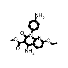 CCOc1ccc2c(N)c(C(=O)OC)c(=O)n(-c3ccc(N)cc3)c2n1